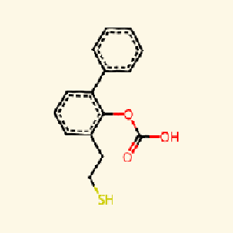 O=C(O)Oc1c(CCS)cccc1-c1ccccc1